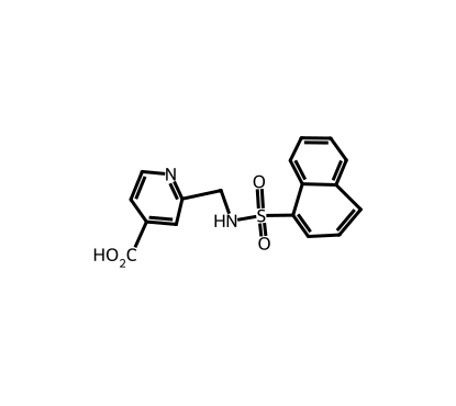 O=C(O)c1ccnc(CNS(=O)(=O)c2cccc3ccccc23)c1